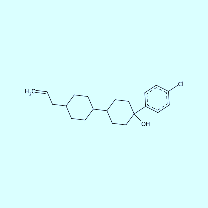 C=CCC1CCC(C2CCC(O)(c3ccc(Cl)cc3)CC2)CC1